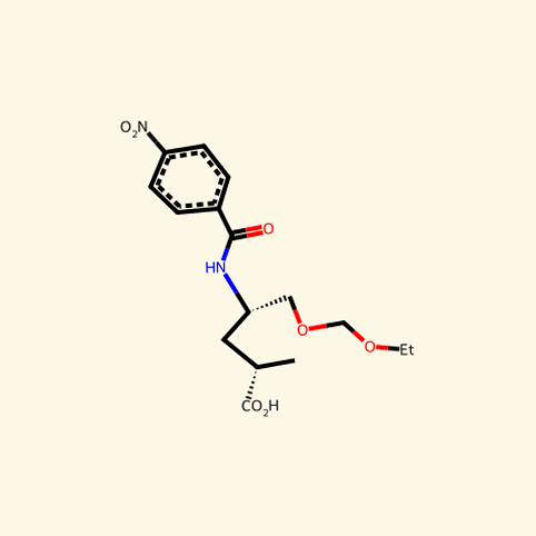 CCOCOC[C@H](C[C@H](C)C(=O)O)NC(=O)c1ccc([N+](=O)[O-])cc1